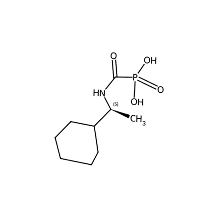 C[C@H](NC(=O)P(=O)(O)O)C1CCCCC1